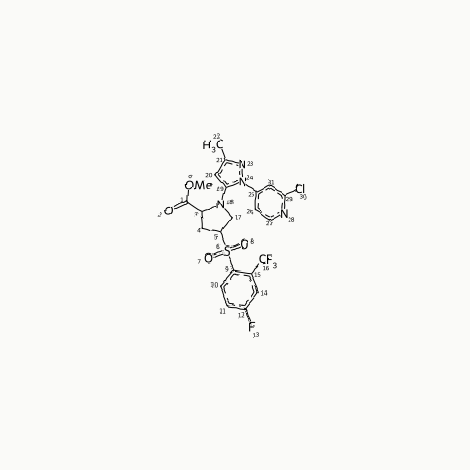 COC(=O)C1CC(S(=O)(=O)c2ccc(F)cc2C(F)(F)F)CN1c1cc(C)nn1-c1ccnc(Cl)c1